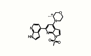 C[C@@H]1COCCN1c1cc(-c2ccnc3[nH]ccc23)nc2c1ccn2S(C)(=O)=O